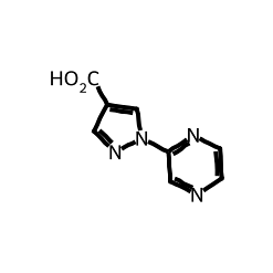 O=C(O)c1cnn(-c2cnccn2)c1